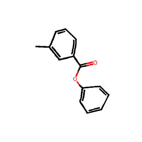 Cc1cccc(C(=O)Oc2ccccc2)c1